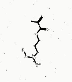 C=C(C)C(=O)OCCC[SiH](OC)OCC